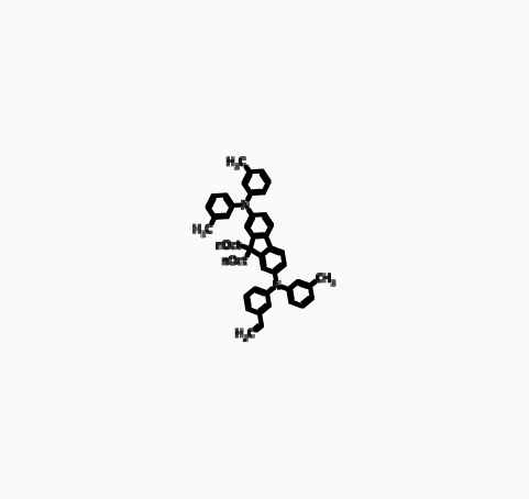 C=Cc1cccc(N(c2cccc(C)c2)c2ccc3c(c2)C(CCCCCCCC)(CCCCCCCC)c2cc(N(c4cccc(C)c4)c4cccc(C)c4)ccc2-3)c1